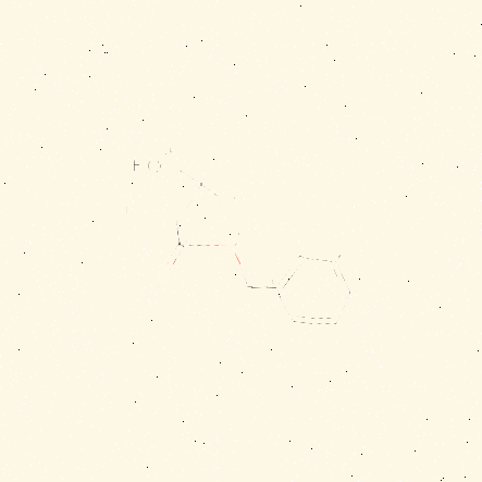 C[C@@H](C(=O)OCc1ccccc1)C(C)(C)C(=O)O